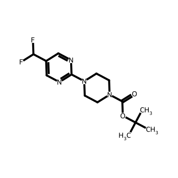 CC(C)(C)OC(=O)N1CCN(c2ncc(C(F)F)cn2)CC1